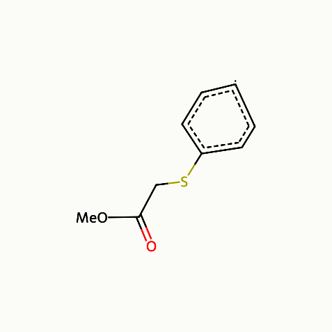 COC(=O)CSc1cc[c]cc1